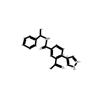 CC(=O)c1cc(C(=O)NC(C)c2ccccc2)ccc1-c1cn[nH]c1